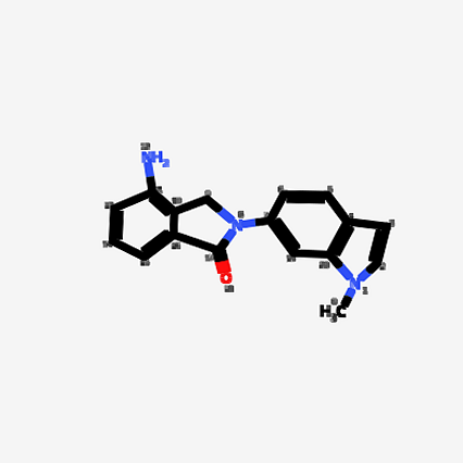 Cn1ccc2ccc(N3Cc4c(N)cccc4C3=O)cc21